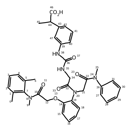 Cc1cccc(C)c1N(C)C(=O)COc1ccccc1N(CC(=O)N(C)c1ccccc1)C(=O)CNC(=O)Nc1cccc(C(C)C(=O)O)c1